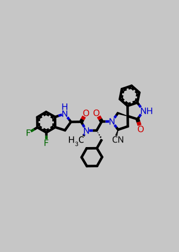 CN(C(=O)C1Cc2c(ccc(F)c2F)N1)[C@@H](CC1CCCCC1)C(=O)N1C[C@]2(C[C@H]1C#N)C(=O)Nc1ccccc12